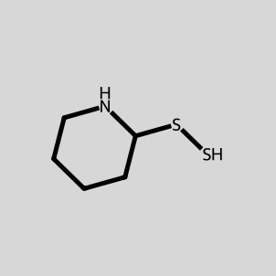 SSC1CCCCN1